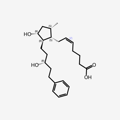 C[C@H]1C[C@@H](O)[C@H](CC[C@@H](O)CCc2ccccc2)[C@H]1C/C=C\CCCC(=O)O